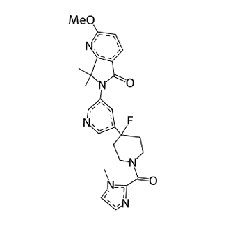 COc1ccc2c(n1)C(C)(C)N(c1cncc(C3(F)CCN(C(=O)c4nccn4C)CC3)c1)C2=O